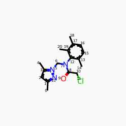 Cc1cc(C)n(CN(C(=O)CCl)c2c(C)ccc(C)c2C)n1